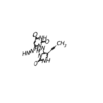 CC#Cc1c[nH]c(=O)nc1N.N=Nc1cc(=O)[nH]c(=O)[nH]1